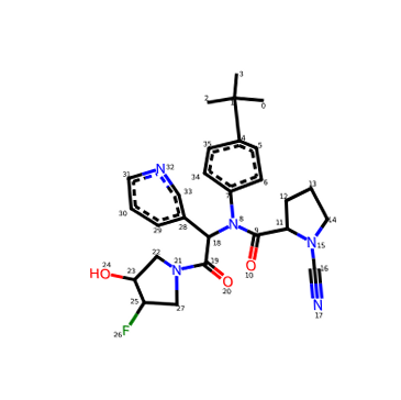 CC(C)(C)c1ccc(N(C(=O)C2CCCN2C#N)C(C(=O)N2CC(O)C(F)C2)c2cccnc2)cc1